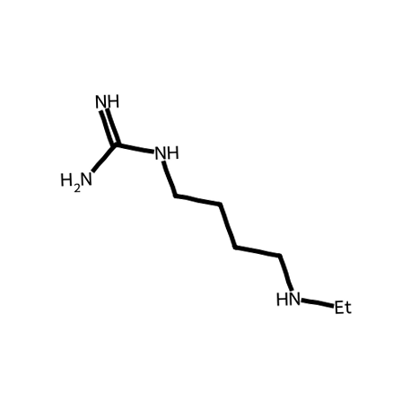 CCNCCCCNC(=N)N